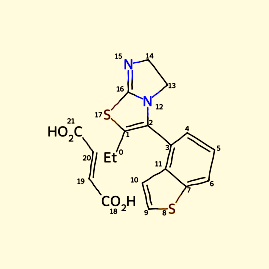 CCC1=C(c2cccc3sccc23)N2CCN=C2S1.O=C(O)/C=C/C(=O)O